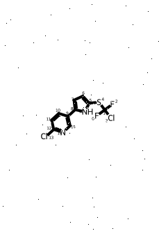 FC(F)(Cl)Sc1ccc(-c2ccc(Cl)nc2)[nH]1